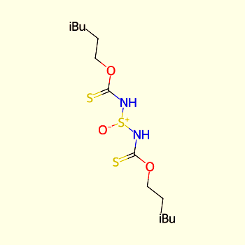 CCC(C)CCOC(=S)N[S+]([O-])NC(=S)OCCC(C)CC